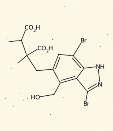 CC(C(=O)O)C(C)(Cc1cc(Br)c2[nH]nc(Br)c2c1CO)C(=O)O